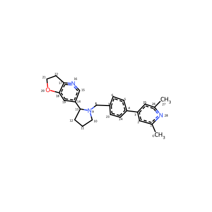 Cc1cc(-c2ccc(CN3CCCC3c3cnc4c(c3)OCC4)cc2)cc(C)n1